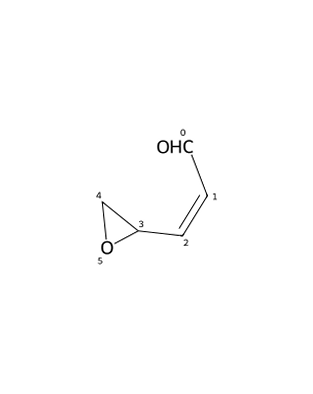 O=C/C=C\C1CO1